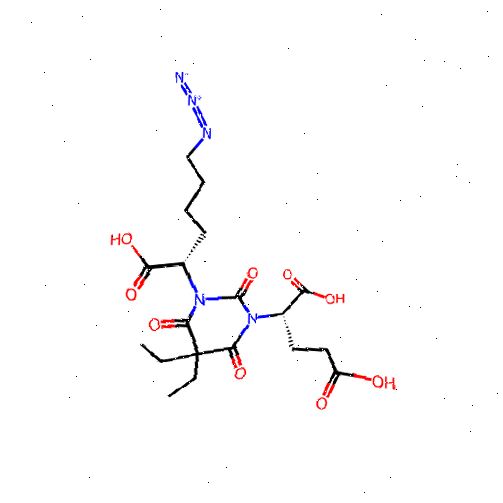 CCC1(CC)C(=O)N([C@@H](CCCCN=[N+]=[N-])C(=O)O)C(=O)N([C@@H](CCC(=O)O)C(=O)O)C1=O